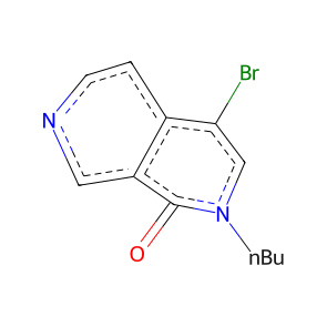 CCCCn1cc(Br)c2ccncc2c1=O